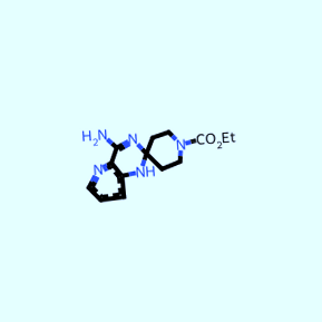 CCOC(=O)N1CCC2(CC1)N=C(N)c1ncccc1N2